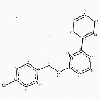 Clc1ccc(COc2cccc(C3=CCN=CC3)n2)nc1